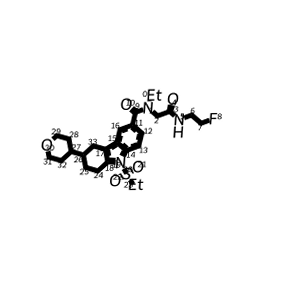 CCN(CC(=O)NCCF)C(=O)c1ccc2c(c1)c1c(n2S(=O)(=O)CC)CCC(C2CCOCC2)C1